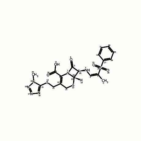 CC(=CN[C@@H]1C(=O)N2C(C(=O)O)=C(CSc3nnnn3C)CS[C@@H]12)S(=O)(=O)c1ccccc1